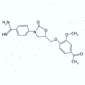 COc1cc(C(C)=O)ccc1OCC1CN(c2ccc(C(=N)N)cc2)C(=O)O1